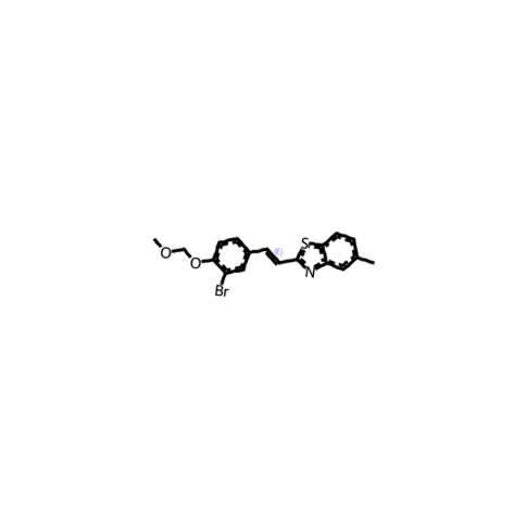 COCOc1ccc(/C=C/c2nc3cc(C)ccc3s2)cc1Br